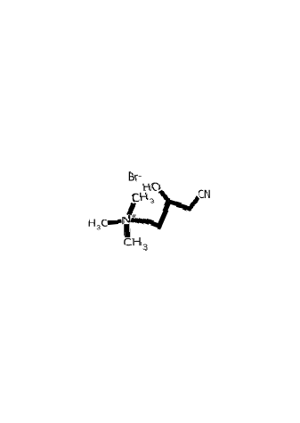 C[N+](C)(C)CC(O)CC#N.[Br-]